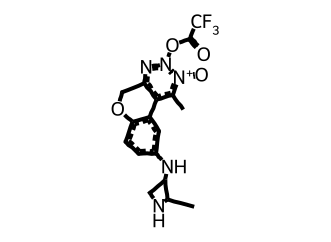 Cc1c2c(nn(OC(=O)C(F)(F)F)[n+]1=O)COc1ccc(NC3CNC3C)cc1-2